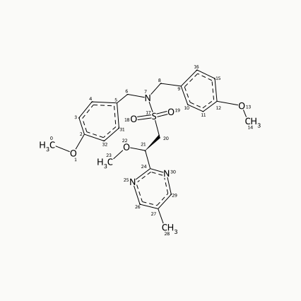 COc1ccc(CN(Cc2ccc(OC)cc2)S(=O)(=O)C[C@H](OC)c2ncc(C)cn2)cc1